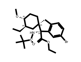 C=C(OCC)[C@]1(N[S+]([O-])C(C)(C)C)c2cc(Br)ccc2C[C@]12CC[C@@H](OC)[C@H](CC)C2